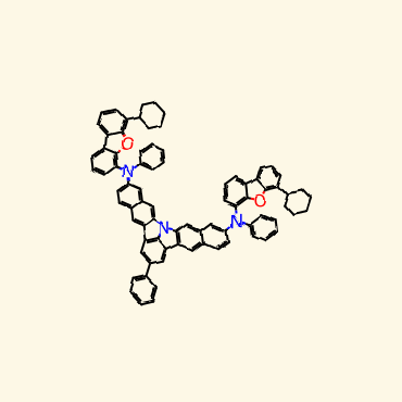 c1ccc(-c2cc3c4cc5ccc(N(c6ccccc6)c6cccc7c6oc6c(C8CCCCC8)cccc67)cc5cc4n4c5cc6cc(N(c7ccccc7)c7cccc8c7oc7c(C9CCCCC9)cccc78)ccc6cc5c(c2)c34)cc1